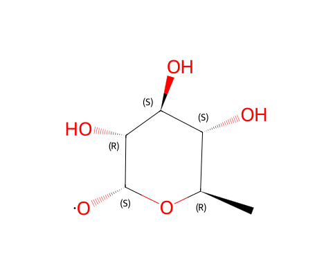 C[C@H]1O[C@H]([O])[C@H](O)[C@@H](O)[C@@H]1O